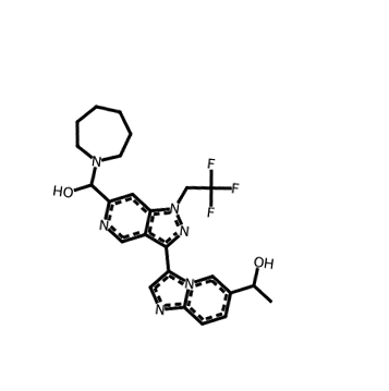 CC(O)c1ccc2ncc(-c3nn(CC(F)(F)F)c4cc(C(O)N5CCCCCC5)ncc34)n2c1